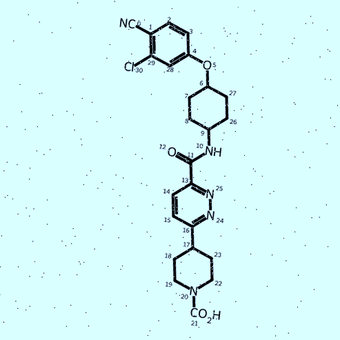 N#Cc1ccc(OC2CCC(NC(=O)c3ccc(C4CCN(C(=O)O)CC4)nn3)CC2)cc1Cl